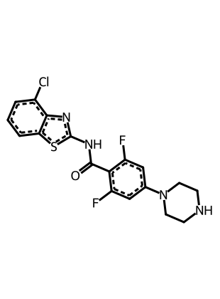 O=C(Nc1nc2c(Cl)cccc2s1)c1c(F)cc(N2CCNCC2)cc1F